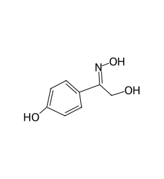 OCC(=NO)c1ccc(O)cc1